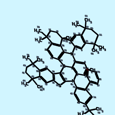 Cc1cc2c3c(c1)N1c4cc5c(cc4C4(C)CCC(C)(C)c6ccc(c1c64)B3c1c(sc3cc4c(cc13)C(C)(C)CCC4(C)C)N2c1ccc(C(C)(C)C)cc1-c1ccccc1)C(C)(C)CCC5(C)C